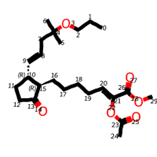 CCCOC(C)(C)CC=C[C@H]1CCC(=O)[C@@H]1CCCCC=C(OC(C)=O)C(=O)OC